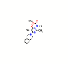 Cc1nc(N2CCc3ccccc3CC2)c(C#N)c(=O)n1N(C(=O)OC(C)(C)C)C(C)C